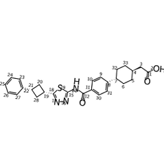 O=C(O)C[C@H]1CC[C@H](c2ccc(C(=O)Nc3nnc([C@H]4C[C@@H](c5ccccc5)C4)s3)cc2)CC1